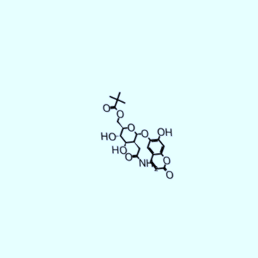 CC(C)(C)C(=O)OC[C@H]1O[C@@H](Oc2cc3ccc(=O)oc3cc2O)[C@@H](CC(N)=O)[C@@H](O)[C@@H]1O